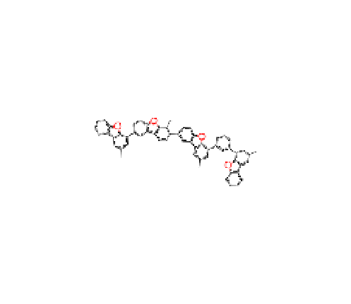 Cc1cc(-c2cccc(-c3cc(C)cc4c3oc3ccc(-c5ccc6c(oc7ccc(-c8cc(C)cc9c8oc8ccccc89)cc76)c5C)cc34)c2)c2oc3ccccc3c2c1